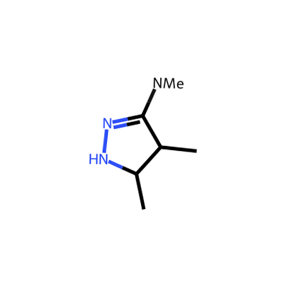 CNC1=NNC(C)C1C